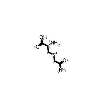 [NH]C(=O)CSC[C@@H](N)C(=O)O